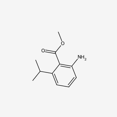 COC(=O)c1c(N)cccc1C(C)C